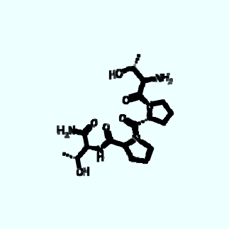 C[C@@H](O)C(N)C(=O)N1CCC[C@@H]1C(=O)N1CCCC1C(=O)N[C@H](C(N)=O)[C@@H](C)O